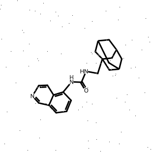 O=C(NCC12CC3CC(CC(C3)C1)C2)Nc1cccc2cnccc12